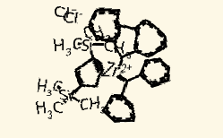 C[Si](C)(C)C1=CC([Si](C)(C)C)=[C]([Zr+2](=[C](c2ccccc2)c2ccccc2)[CH]2c3ccccc3-c3ccccc32)C1.[Cl-].[Cl-]